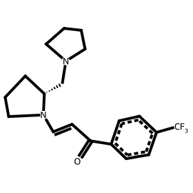 O=C(/C=C/N1CCC[C@@H]1CN1CCCC1)c1ccc(C(F)(F)F)cc1